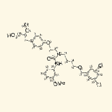 CCOC(Cc1ccc(OCCN(CCCCOCc2cc(Cl)cc(Cl)c2)C(=O)Nc2cccc(OC)c2)cc1)C(=O)O